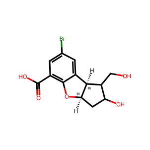 O=C(O)c1cc(Br)cc2c1O[C@@H]1CC(O)C(CO)[C@H]21